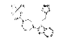 CC(C)(C)OC(=O)N1CCCN(c2nc3ccccc3n2CCn2cnnn2)CC1